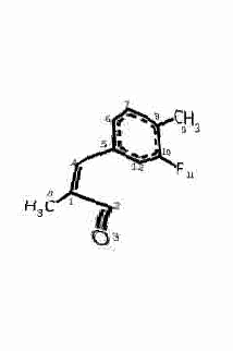 C/C(C=O)=C/c1ccc(C)c(F)c1